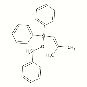 CC(C)=C[Si](O[SiH2]c1ccccc1)(c1ccccc1)c1ccccc1